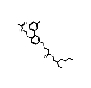 CCCCC(CC)COC(=O)CCSc1ccc(CCNC(C)=O)c(-c2cccc(F)c2)c1